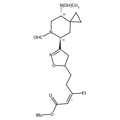 CC/C(=C/C(=O)OC(C)(C)C)CCC1CC([C@@H]2CC3(CC3)[C@@H](N(C)O)CN2C=O)=NO1